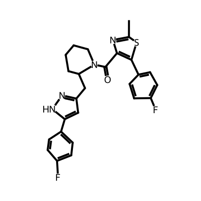 Cc1nc(C(=O)N2CCCCC2Cc2cc(-c3ccc(F)cc3)[nH]n2)c(-c2ccc(F)cc2)s1